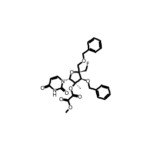 COC(=O)C(=O)O[C@]1(C)[C@H](OCc2ccccc2)[C@@](CF)(COCc2ccccc2)O[C@H]1n1ccc(=O)[nH]c1=O